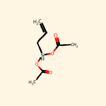 C=CC[SiH](OC(C)=O)OC(C)=O